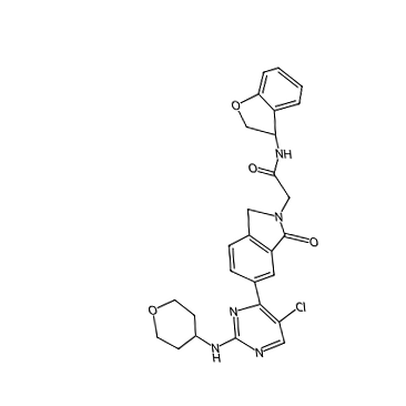 O=C(CN1Cc2ccc(-c3nc(NC4CCOCC4)ncc3Cl)cc2C1=O)NC1COc2ccccc21